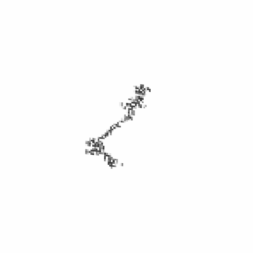 Cc1cc(Nc2ncc(Cl)c(Nc3ccccc3S(=O)(=O)C(C)C)n2)c(OC(C)C)cc1C1CCN(C(=O)CCOCCOCCOCCOCCOCCC(=O)N[C@H](C(=O)N2C[C@H](O)C[C@H]2C(=O)NCc2ccc(-c3scnc3C)cc2)C(C)(C)C)CC1